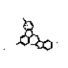 CC1=Cc2ccccc2C1CC1c2ccc(C)cc2-c2cc(C)ccc21